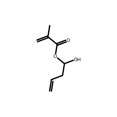 C=CCC(O)OC(=O)C(=C)C